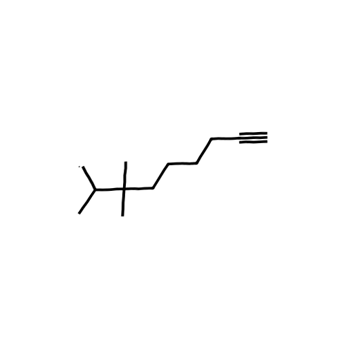 C#CCCCCC(C)(C)C([CH2])C